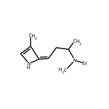 CCN(C)C(C)C/C=C1/NC=C1C